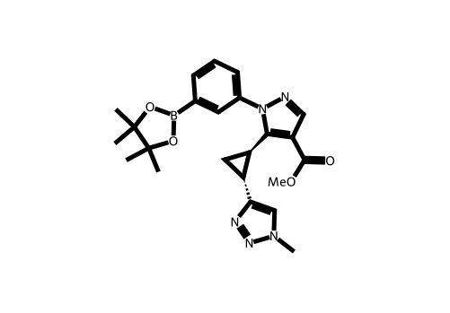 COC(=O)c1cnn(-c2cccc(B3OC(C)(C)C(C)(C)O3)c2)c1[C@@H]1C[C@H]1c1cn(C)nn1